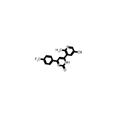 Cc1ncc(C#N)cc1-c1cc(-c2ccc(C(F)(F)F)cc2)nc(=O)[nH]1